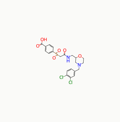 O=C(CS(=O)(=O)c1ccc(C(=O)O)cc1)NCC1CN(Cc2ccc(Cl)c(Cl)c2)CCO1